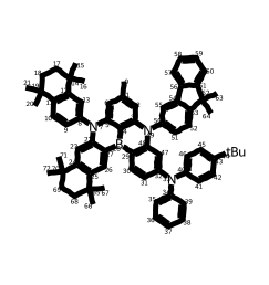 Cc1cc2c3c(c1)N(c1ccc4c(c1)C(C)(C)CCC4(C)C)c1cc4c(cc1B3c1ccc(N(c3ccccc3)c3ccc(C(C)(C)C)cc3)cc1N2c1ccc2c(c1)-c1ccccc1C2(C)C)C(C)(C)CCC4(C)C